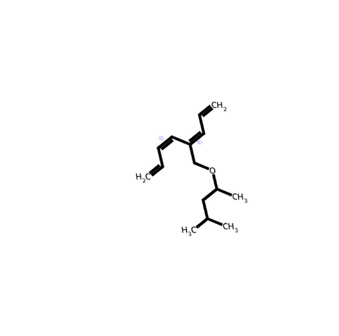 C=C/C=C\C(=C/C=C)COC(C)CC(C)C